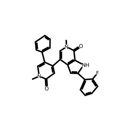 Cn1cc(-c2ccccc2)c(-c2cn(C)c(=O)c3[nH]c(-c4ccccc4F)cc23)cc1=O